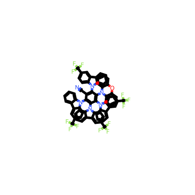 N#Cc1c(-n2c3ccccc3c3cc(C(F)(F)F)ccc32)c(N2c3ccccc3Oc3ccccc32)c(-n2c3ccccc3c3cc(C(F)(F)F)ccc32)c(-n2c3ccccc3c3cc(C(F)(F)F)ccc32)c1-n1c2ccccc2c2cc(C(F)(F)F)ccc21